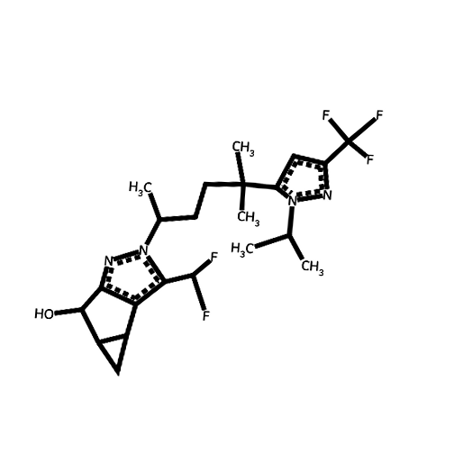 CC(C)n1nc(C(F)(F)F)cc1C(C)(C)CCC(C)n1nc2c(c1C(F)F)C1CC1C2O